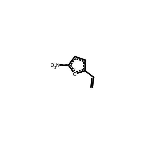 [CH]=Cc1ccc([N+](=O)[O-])o1